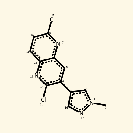 Cn1cc(-c2cc3nc(Cl)ccc3nc2Cl)cn1